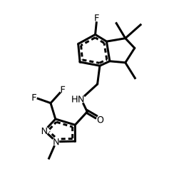 CC1CC(C)(C)c2c(F)ccc(CNC(=O)c3cn(C)nc3C(F)F)c21